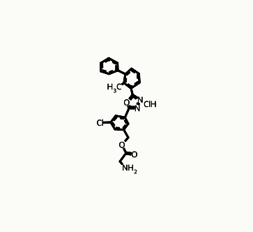 Cc1c(-c2ccccc2)cccc1-c1nnc(-c2cc(Cl)cc(COC(=O)CN)c2)o1.Cl